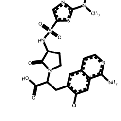 CN(C)c1ncc(S(=O)(=O)NC2CCN(C(Cc3cc4ccnc(N)c4cc3Cl)C(=O)O)C2=O)s1